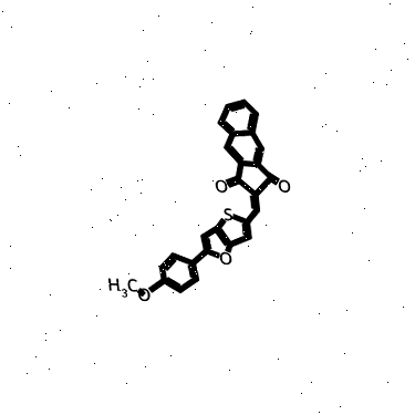 COc1ccc(-c2cc3sc(C=C4C(=O)c5cc6ccccc6cc5C4=O)cc3o2)cc1